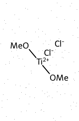 C[O][Ti+2][O]C.[Cl-].[Cl-]